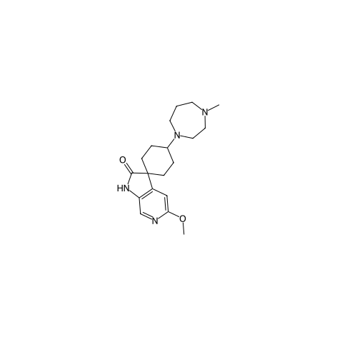 COc1cc2c(cn1)NC(=O)C21CCC(N2CCCN(C)CC2)CC1